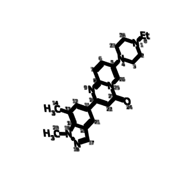 CCN1CCN(c2ccc3nc(-c4cc(C)c5c(cnn5C)c4)cc(=O)n3c2)CC1